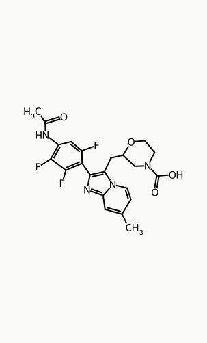 CC(=O)Nc1cc(F)c(-c2nc3cc(C)ccn3c2CC2CN(C(=O)O)CCO2)c(F)c1F